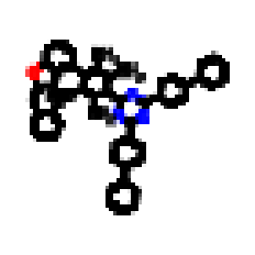 Bc1c(B)c(-c2cccc3oc4cc5ccccc5cc4c23)c(B)c(B)c1-c1nc(-c2ccc(-c3ccccc3)cc2)nc(-c2ccc(-c3ccccc3)cc2)n1